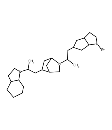 CC(C)N1CCC2CC(CC(C)N3CC4CC3CC4CC(C)N3CCC4CCCCC43)CC21